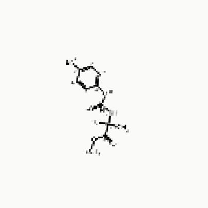 COC(=O)C(C)(C)N[PH](=O)Oc1ccc(Br)cc1